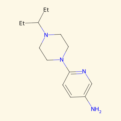 CCC(CC)N1CCN(c2ccc(N)cn2)CC1